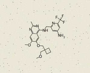 COCC1(COc2cc3c(NCc4cc(N)cc(C(F)(F)F)n4)nc(C)nc3cc2OC)CCC1